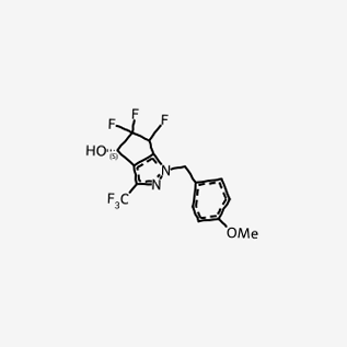 COc1ccc(Cn2nc(C(F)(F)F)c3c2C(F)C(F)(F)[C@H]3O)cc1